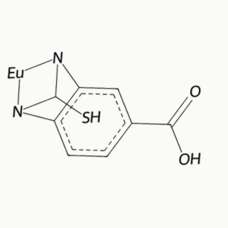 O=C(O)c1ccc2c(c1)[N]1[Eu][N]2C1S